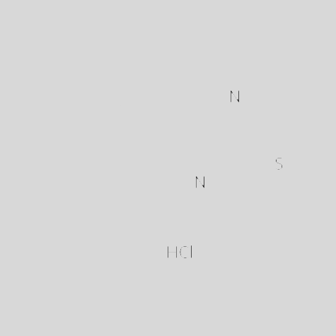 Cc1ccc(/N=c2/sccn2C)c(C)c1.Cl